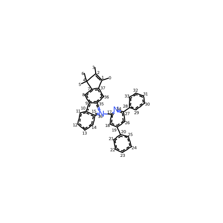 CC1=C(C)C(C)(C)c2cc3c4ccccc4n(-c4cc(-c5ccccc5)cc(-c5ccccc5)n4)c3cc21